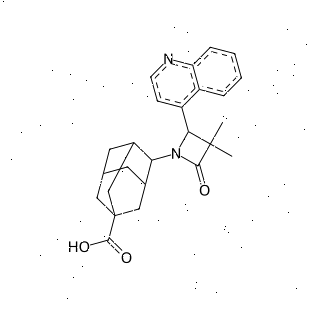 CC1(C)C(=O)N(C2C3CC4CC2CC(C(=O)O)(C4)C3)C1c1ccnc2ccccc12